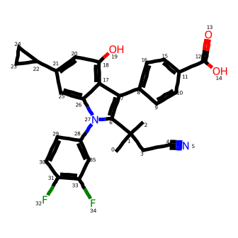 CC(C)(CC#N)c1c(-c2ccc(C(=O)O)cc2)c2c(O)cc(C3CC3)cc2n1-c1ccc(F)c(F)c1